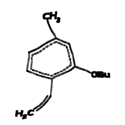 C=Cc1ccc(C)cc1OCC(C)C